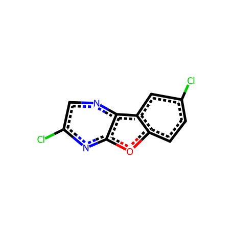 Clc1ccc2oc3nc(Cl)cnc3c2c1